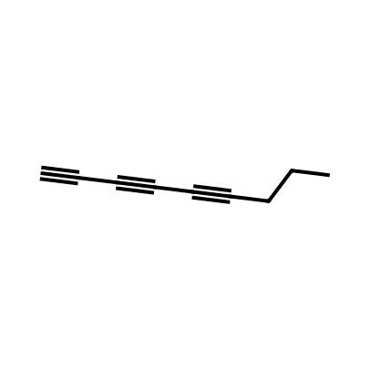 C#CC#CC#CCCC